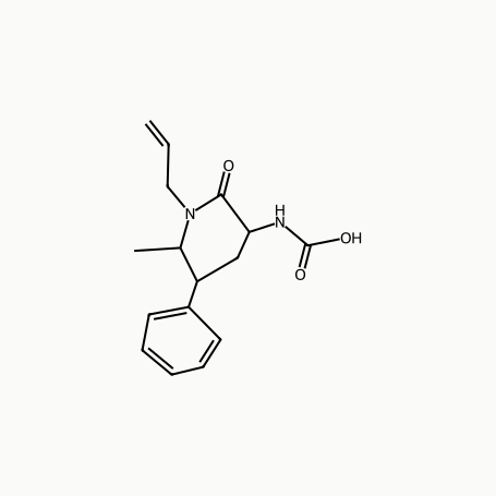 C=CCN1C(=O)C(NC(=O)O)CC(c2ccccc2)C1C